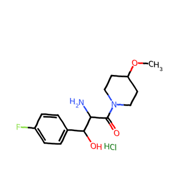 COC1CCN(C(=O)C(N)C(O)c2ccc(F)cc2)CC1.Cl